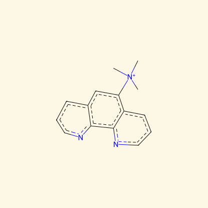 C[N+](C)(C)c1cc2cccnc2c2ncccc12